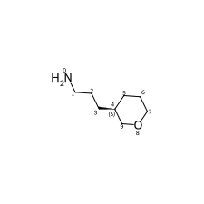 NCCC[C@H]1CCCOC1